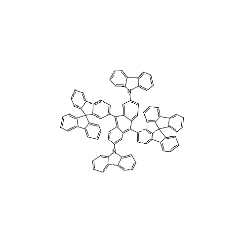 c1ccc2c(c1)-c1ccccc1C21c2ccccc2-c2ccc(-c3c4ccc(-n5c6ccccc6c6ccccc65)cc4c(-c4ccc5c(c4)C4(c6ccccc6-c6ccccc64)c4ccccc4-5)c4ccc(-n5c6ccccc6c6ccccc65)cc34)cc21